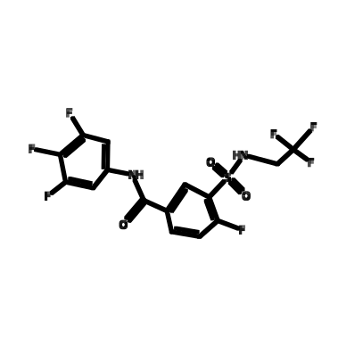 O=C(Nc1cc(F)c(F)c(F)c1)c1ccc(F)c(S(=O)(=O)NCC(F)(F)F)c1